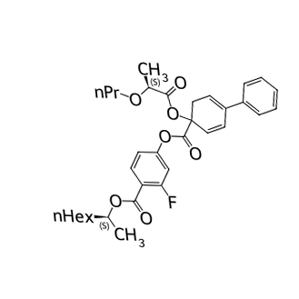 CCCCCC[C@H](C)OC(=O)c1ccc(OC(=O)C2(OC(=O)[C@H](C)OCCC)C=CC(c3ccccc3)=CC2)cc1F